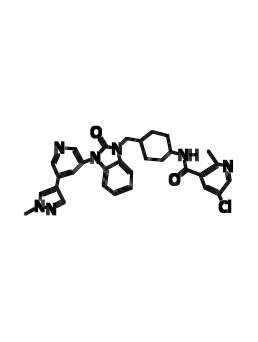 Cc1ncc(Cl)cc1C(=O)NC1CCC(Cn2c(=O)n(-c3cncc(-c4cnn(C)c4)c3)c3ccccc32)CC1